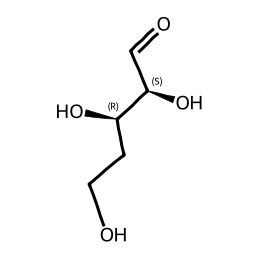 O=C[C@@H](O)[C@H](O)CCO